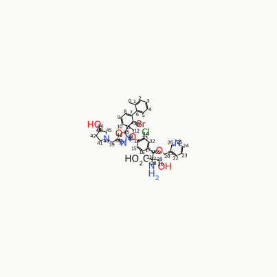 Cc1ccccc1C1=CC=CC(COc2ccc(C(OCc3cccnc3)C(N)(CO)C(=O)O)cc2Cl)(c2nnc(CN3CC[C@@H](O)C3)o2)C1Br